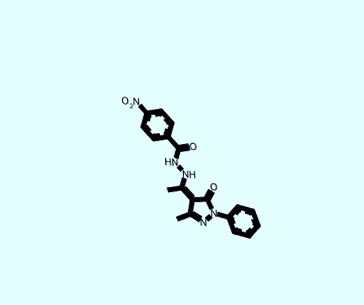 CC1=NN(c2ccccc2)C(=O)/C1=C(/C)NNC(=O)c1ccc([N+](=O)[O-])cc1